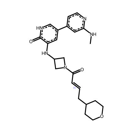 CNc1cc(-c2c[nH]c(=O)c(NC3CN(C(=O)/C=C/CC4CCOCC4)C3)c2)ccn1